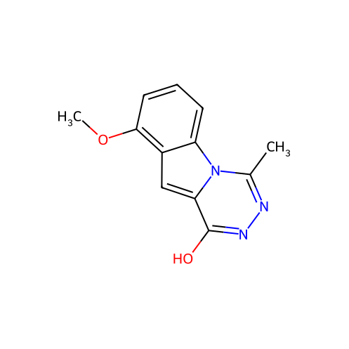 COc1cccc2c1cc1c(O)nnc(C)n12